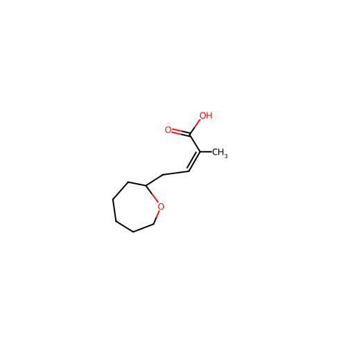 CC(=CCC1CCCCCO1)C(=O)O